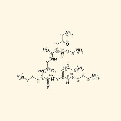 NCCC[C@H](NC(=O)CNC(O)[C@H](CCCN)NC(=O)CN)C(=O)NCC(=O)N[C@@H](CCCN)C(N)O